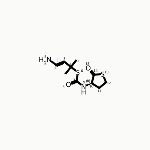 CC(C)(/C=C/N)SC(=O)N[C@@H]1CCSC1=O